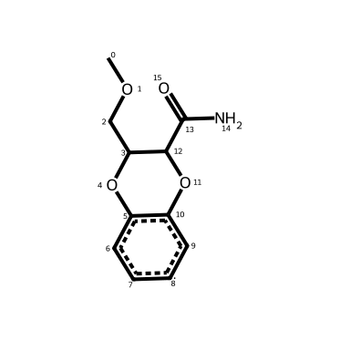 COCC1Oc2cc[c]cc2OC1C(N)=O